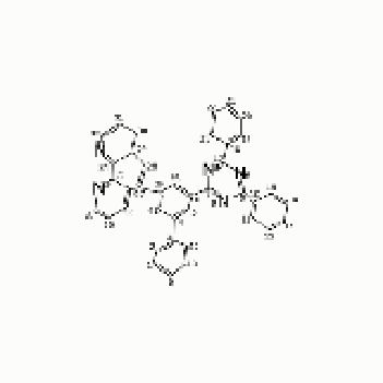 c1ccc(-c2cc(-c3nc(-c4ccccc4)nc(-c4ccccc4)n3)cc(-c3cc4cccnc4c4ncccc34)c2)cc1